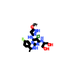 CC(C)Oc1cc(Nc2nc(N[C@@H](C)c3ccc(F)cc3)nc(NC(CO)CO)c2Cl)n[nH]1